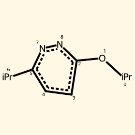 CC(C)Oc1ccc(C(C)C)nn1